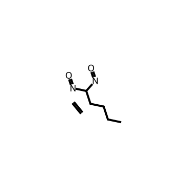 C=C.CCCCC(N=O)N=O